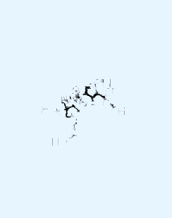 CCOCN1CC(NS(=O)(=O)c2cn(C)c(C(=O)OCC)c2F)C(C)(CO)C1